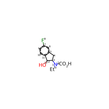 CCN(C(=O)O)C1Cc2cc(F)ccc2C1O